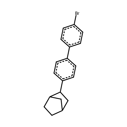 Brc1ccc(-c2ccc(C3CC4CCC3C4)cc2)cc1